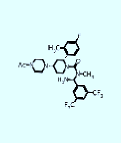 CC(=O)N1CCN([C@H]2CCN(C(=O)N(C)[C@H](N)c3cc(C(F)(F)F)cc(C(F)(F)F)c3)[C@@H](c3ccc(F)cc3C)C2)CC1